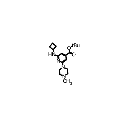 CN1CCN(c2cc(C(=O)OC(C)(C)C)cc(NC3CCC3)n2)CC1